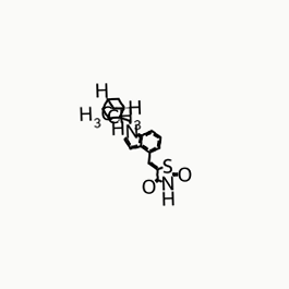 CC1(C)[C@H]2CC[C@H](Cn3ccc4c(/C=C5\SC(=O)NC5=O)cccc43)[C@@H]1C2